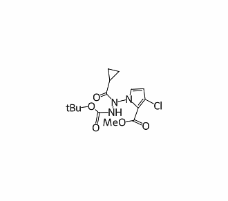 COC(=O)c1c(Cl)ccn1N(NC(=O)OC(C)(C)C)C(=O)C1CC1